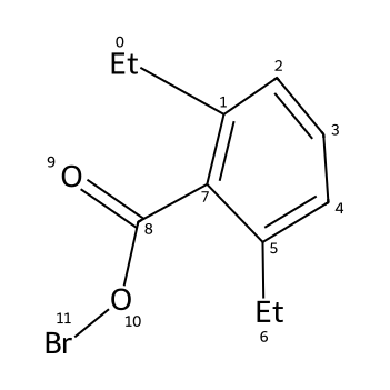 CCc1cccc(CC)c1C(=O)OBr